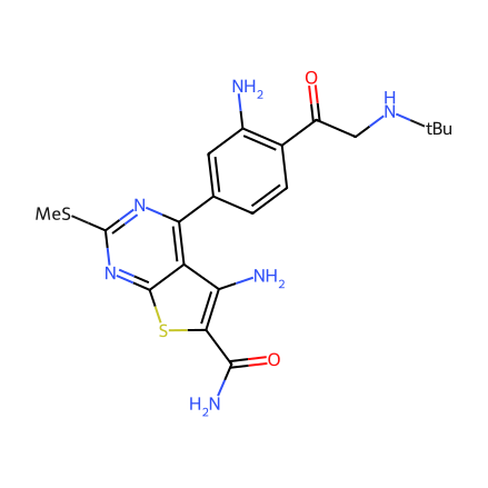 CSc1nc(-c2ccc(C(=O)CNC(C)(C)C)c(N)c2)c2c(N)c(C(N)=O)sc2n1